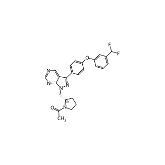 CC(=O)N1CCC[C@H]1Cn1nc(-c2ccc(Oc3cccc(C(F)F)c3)cc2)c2cncnc21